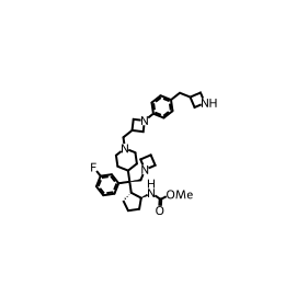 COC(=O)N[C@H]1CCC[C@@H]1[C@](CN1CCC1)(c1cccc(F)c1)C1CCN(CC2CN(c3ccc(CC4CNC4)cc3)C2)CC1